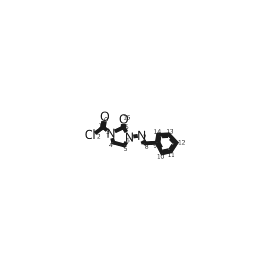 O=C(Cl)N1CCN(N=Cc2ccccc2)C1=O